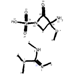 C/N=C(\NC)N(C)C.COC1(N)CN(S(=O)(=O)O)C1=O